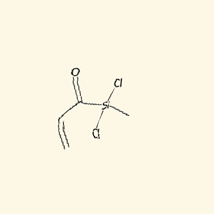 C=CC(=O)[Si](C)(Cl)Cl